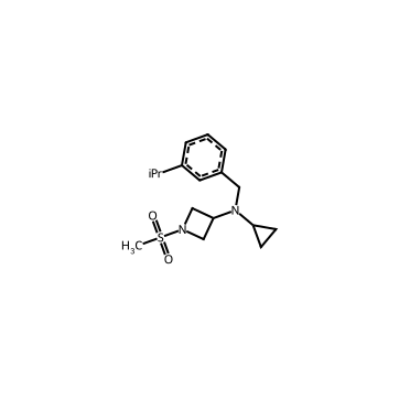 CC(C)c1cccc(CN(C2CC2)C2CN(S(C)(=O)=O)C2)c1